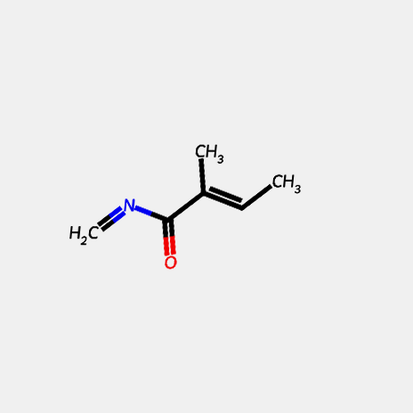 C=NC(=O)/C(C)=C/C